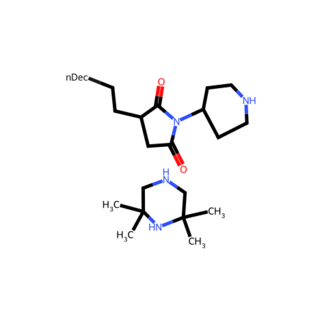 CC1(C)CNCC(C)(C)N1.CCCCCCCCCCCCC1CC(=O)N(C2CCNCC2)C1=O